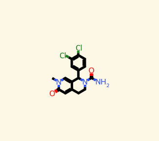 Cn1cc2c(cc1=O)CCN(C(N)=O)C2c1ccc(Cl)c(Cl)c1